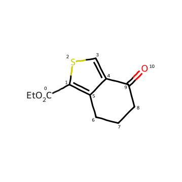 CCOC(=O)c1scc2c1CCCC2=O